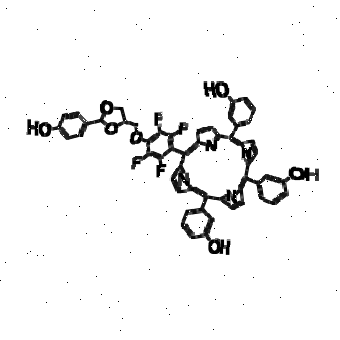 Oc1ccc(C2OCC(COc3c(F)c(F)c(C4=C5C=CC(=N5)C(c5cccc(O)c5)=C5C=CC(=N5)C(c5cccc(O)c5)=C5C=CC(=N5)C(c5cccc(O)c5)=C5C=CC4=N5)c(F)c3F)O2)cc1